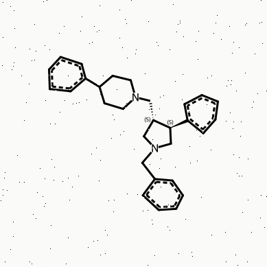 c1ccc(CN2C[C@H](CN3CCC(c4ccccc4)CC3)[C@@H](c3ccccc3)C2)cc1